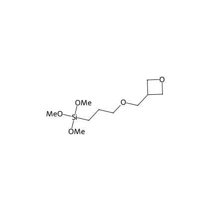 CO[Si](CCCOCC1COC1)(OC)OC